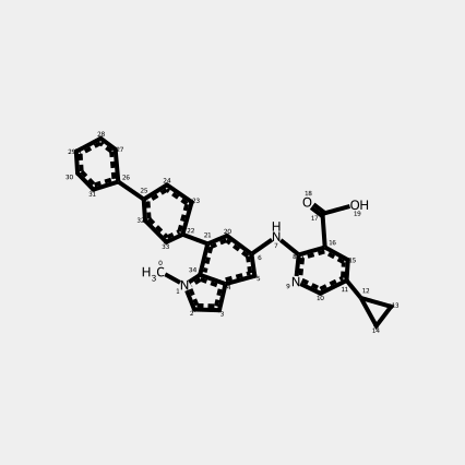 Cn1ccc2cc(Nc3ncc(C4CC4)cc3C(=O)O)cc(-c3ccc(-c4ccccc4)cc3)c21